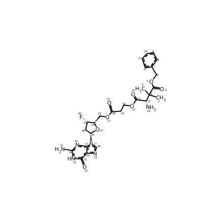 CC(C)(C(=O)OCc1ccccc1)[C@H](N)C(=O)OCCC(=O)OC[C@H]1O[C@@H](n2cnc3c(=O)[nH]c(N)nc32)C[C@@H]1F